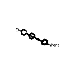 CCCCCc1ccc(C#CC23CCC([C@H]4CC[C@H](CC)CC4)(CC2)CC3)cc1